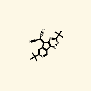 [C-]#[N+]/C(C#N)=C1\[C]2=[C]([U]=[V][C](C(C)(C)C)=[K]2)c2cpc(C(C)(C)C)cc21